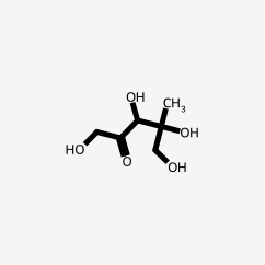 CC(O)(CO)C(O)C(=O)CO